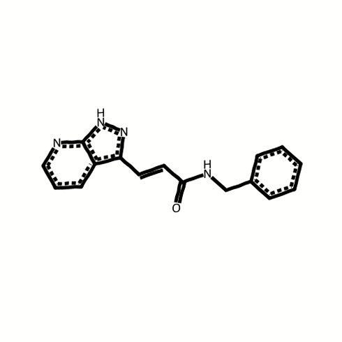 O=C(/C=C/c1n[nH]c2ncccc12)NCc1ccccc1